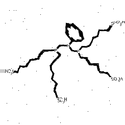 O=S(=O)(O)CCCCCCP(CCCCCCS(=O)(=O)O)CN(CP(CCCCCCS(=O)(=O)O)CCCCCCS(=O)(=O)O)c1ccccc1